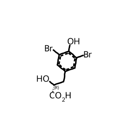 O=C(O)[C@H](O)Cc1cc(Br)c(O)c(Br)c1